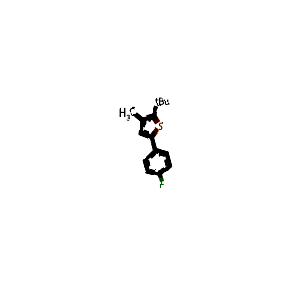 Cc1cc(-c2ccc(F)cc2)sc1C(C)(C)C